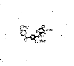 CNc1nc(Nc2ccc(C(=O)N3CCN(CC=O)CC3)cc2OC)ncc1Cl